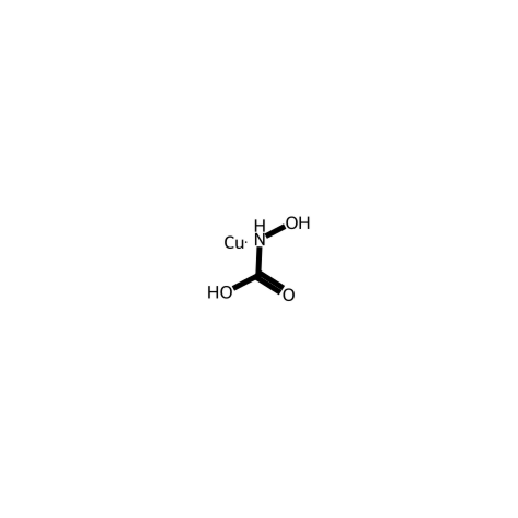 O=C(O)NO.[Cu]